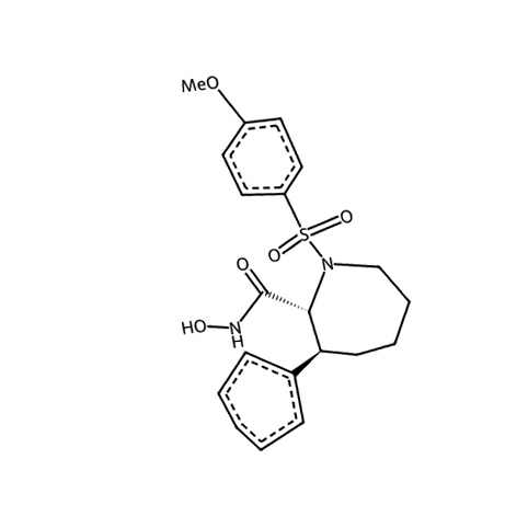 COc1ccc(S(=O)(=O)N2CCCC[C@@H](c3ccccc3)[C@@H]2C(=O)NO)cc1